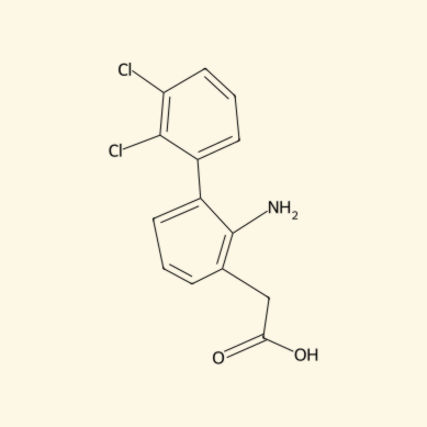 Nc1c(CC(=O)O)cccc1-c1cccc(Cl)c1Cl